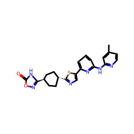 Cc1ccnc(Nc2cccc(-c3cnc([C@H]4CC[C@H](c5noc(=O)[nH]5)CC4)s3)n2)c1